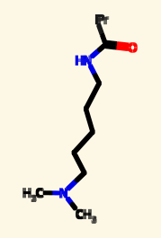 CC(C)C(=O)NCCCCCN(C)C